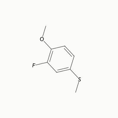 COc1ccc(SC)cc1F